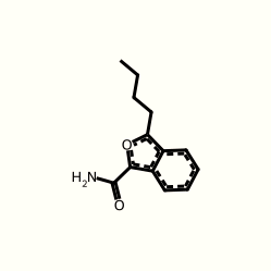 CCCCc1oc(C(N)=O)c2ccccc12